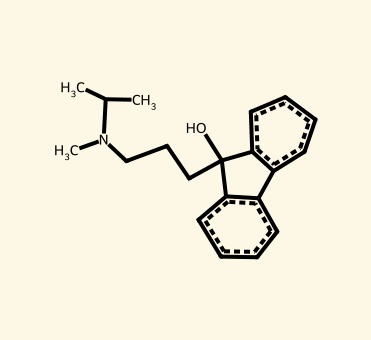 CC(C)N(C)CCCC1(O)c2ccccc2-c2ccccc21